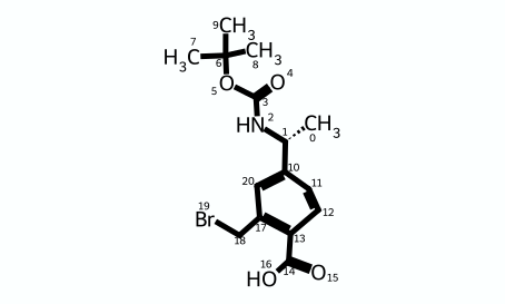 C[C@@H](NC(=O)OC(C)(C)C)c1ccc(C(=O)O)c(CBr)c1